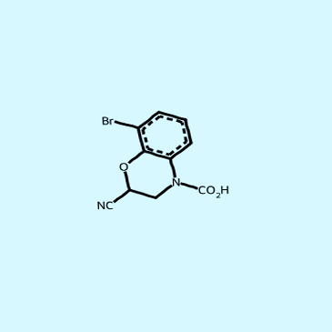 N#CC1CN(C(=O)O)c2cccc(Br)c2O1